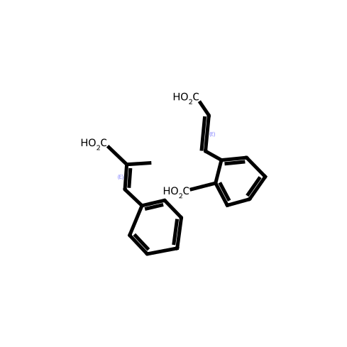 C/C(=C\c1ccccc1)C(=O)O.O=C(O)/C=C/c1ccccc1C(=O)O